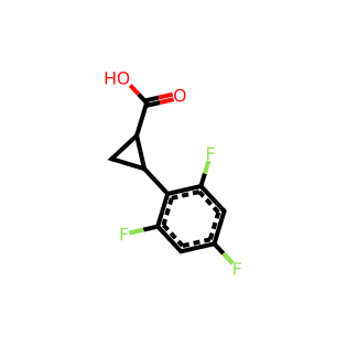 O=C(O)C1CC1c1c(F)cc(F)cc1F